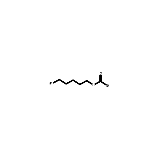 CCC(=O)OCCCCCC(C)C